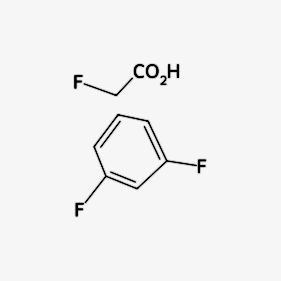 Fc1cccc(F)c1.O=C(O)CF